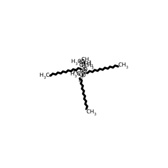 CCCCCCCCCCCCCC[SiH](C)O[Si](C)(CCCCCCCCCCCCCC)O[Si](C)(CCCCCCCCCCCCCC)O[Si](C)(C)C